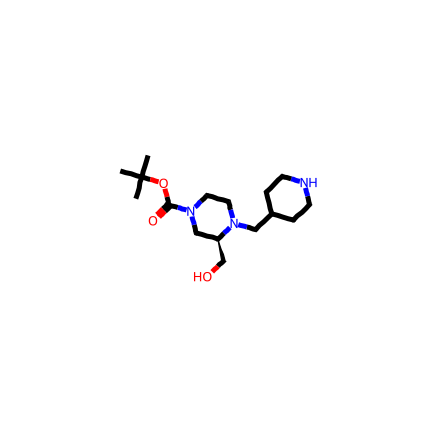 CC(C)(C)OC(=O)N1CCN(CC2CCNCC2)[C@@H](CO)C1